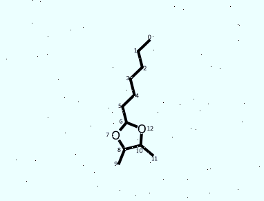 CCCCCCC1OC(C)C(C)O1